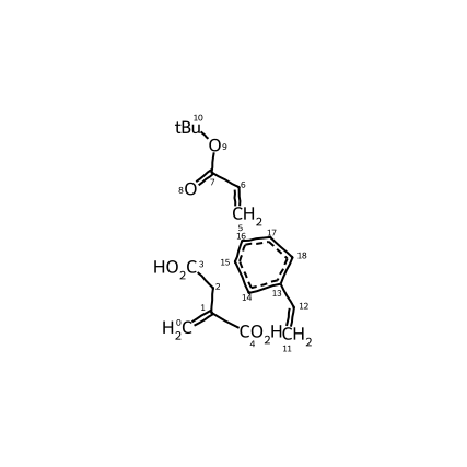 C=C(CC(=O)O)C(=O)O.C=CC(=O)OC(C)(C)C.C=Cc1ccccc1